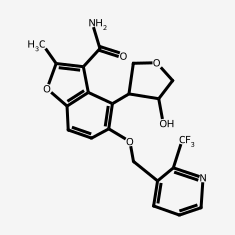 Cc1oc2ccc(OCc3cccnc3C(F)(F)F)c(C3COCC3O)c2c1C(N)=O